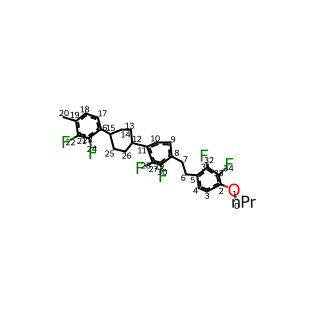 CCCOc1ccc(CCc2ccc(C3CCC(c4ccc(C)c(F)c4F)CC3)c(F)c2F)c(F)c1F